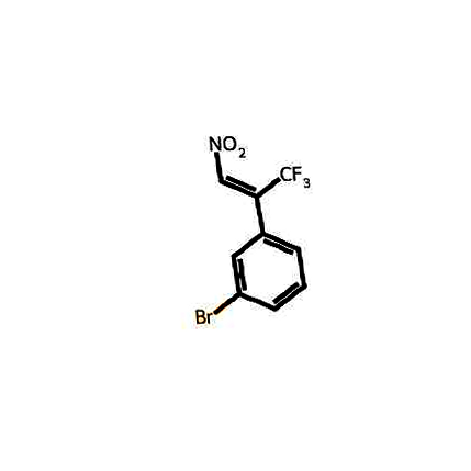 O=[N+]([O-])C=C(c1cccc(Br)c1)C(F)(F)F